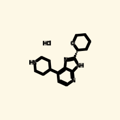 Cl.c1cc(C2CCNCC2)c2nc([C@H]3CCCCO3)[nH]c2n1